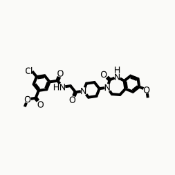 COC(=O)c1cc(Cl)cc(C(=O)NCC(=O)N2CCC(N3CCc4cc(OC)ccc4NC3=O)CC2)c1